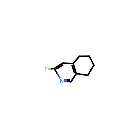 Fc1cc2c(cn1)CCCC2